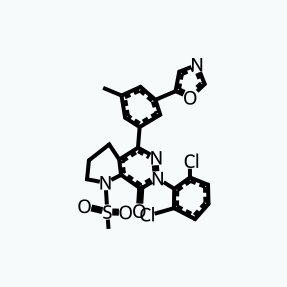 Cc1cc(-c2cnco2)cc(-c2nn(-c3c(Cl)cccc3Cl)c(=O)c3c2CCCN3S(C)(=O)=O)c1